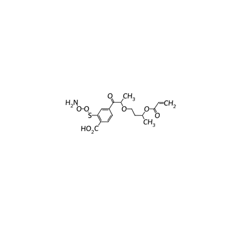 C=CC(=O)OC(C)CCOC(C)C(=O)c1ccc(C(=O)O)c(SOON)c1